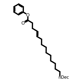 CCCCCCCCCCCCCCCCCCC/C=C/CCC(=O)Oc1ccccc1